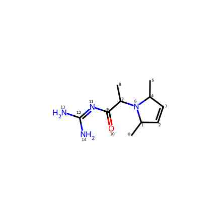 CC1C=CC(C)N1C(C)C(=O)N=C(N)N